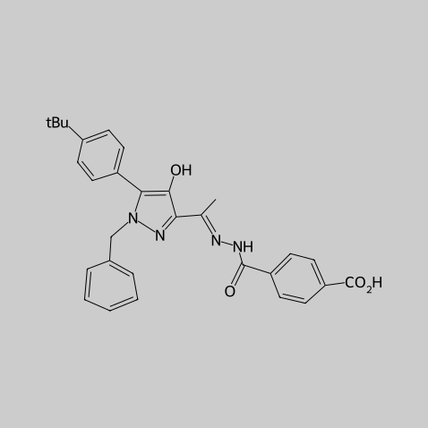 C/C(=N\NC(=O)c1ccc(C(=O)O)cc1)c1nn(Cc2ccccc2)c(-c2ccc(C(C)(C)C)cc2)c1O